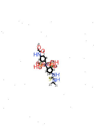 COCC(=O)Nc1ccc(/C=C/c2ccc(NC(=S)NC(C)C)cc2S(=O)(=O)O)c(S(=O)(=O)O)c1